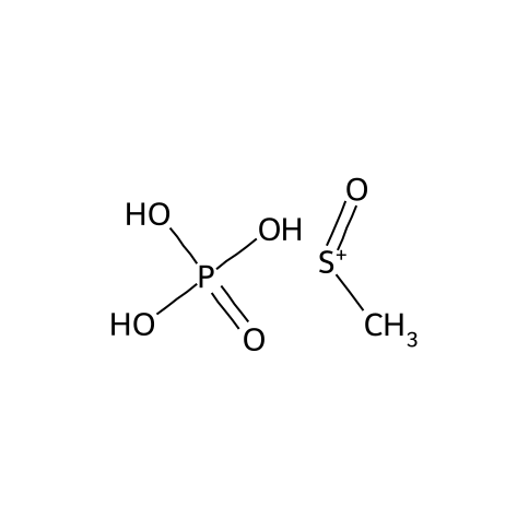 C[S+]=O.O=P(O)(O)O